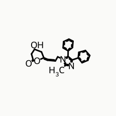 Cc1nc(-c2ccccc2)c(-c2ccccc2)n1CC=C=C1CC(O)CC(=O)O1